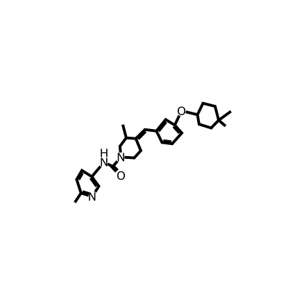 Cc1ccc(NC(=O)N2CCC(=Cc3cccc(OC4CCC(C)(C)CC4)c3)C(C)C2)cn1